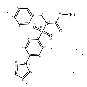 CC(C)(C)OC(=O)N(Cc1ccccc1)S(=O)(=O)c1ccc(-n2cccn2)cc1